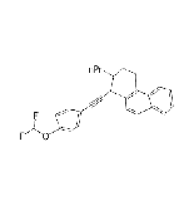 CCCC1CCc2c(ccc3ccccc23)C1C#Cc1ccc(OC(F)F)cc1